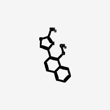 COc1c(-c2coc(N)n2)ccc2ccccc12